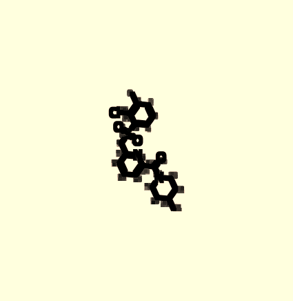 Cc1cccc(S(=O)(=O)Cc2cccc(C(=O)N3CCC(C)CC3)n2)c1Cl